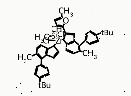 Cc1ccc(C2=Cc3c(ccc(C)c3-c3ccc(C(C)(C)C)cc3)[CH]2[Zr]([Cl])([Cl])([CH]2C=Cc3c2ccc(C)c3-c2ccc(C(C)(C)C)cc2)=[Si](C)C)o1